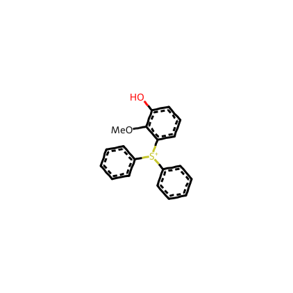 COc1c(O)cccc1[S+](c1ccccc1)c1ccccc1